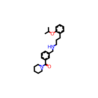 CC(C)Oc1ccccc1CCCNCc1cccc(C(=O)N2CCCCC2)c1